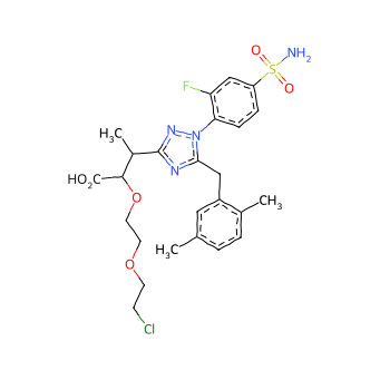 Cc1ccc(C)c(Cc2nc(C(C)C(OCCOCCCl)C(=O)O)nn2-c2ccc(S(N)(=O)=O)cc2F)c1